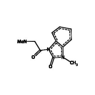 CNCC(=O)n1c(=O)n(C)c2ccccc21